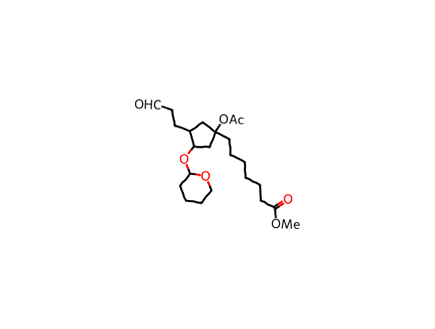 COC(=O)CCCCCCC1(OC(C)=O)CC(CCC=O)C(OC2CCCCO2)C1